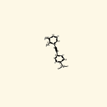 CN(C)c1ccc(C#Cc2cccc(F)c2F)cc1